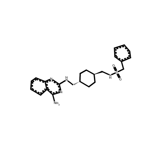 Nc1nc(NC[C@H]2CC[C@H](CNS(=O)(=O)Cc3ccccc3)CC2)nc2ccccc12